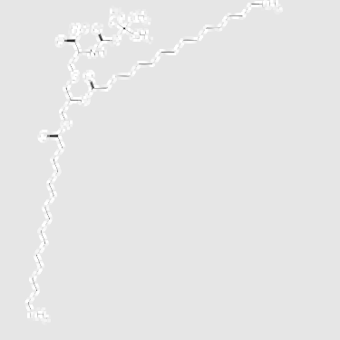 CCCCCCCCCCCCCCCC(=O)OCC(CSCC(NC(=O)OC(C)(C)C)C(=O)O)OC(=O)CCCCCCCCCCCCCCC